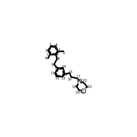 Cc1cccc(C)c1CCc1cccc(CCCN2CCOCC2)c1